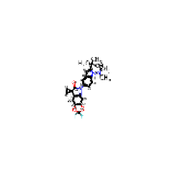 CN(C)n1c(C(C)(C)C)cc2cc(NC(=O)C3(c4ccc5c(c4)OC(F)(F)O5)CC3)ccc21